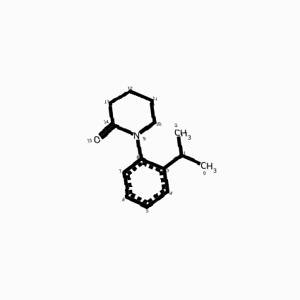 CC(C)c1ccccc1N1CCCCC1=O